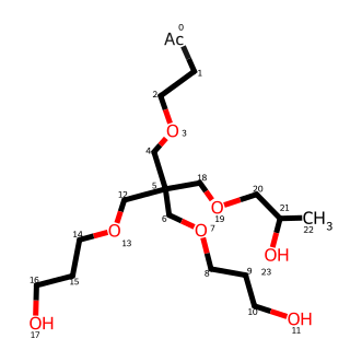 CC(=O)CCOCC(COCCCO)(COCCCO)COCC(C)O